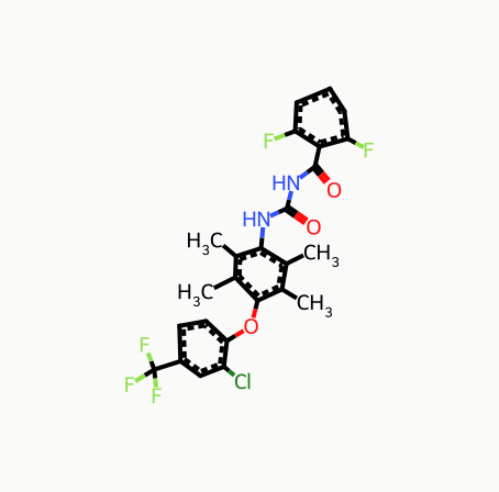 Cc1c(C)c(Oc2ccc(C(F)(F)F)cc2Cl)c(C)c(C)c1NC(=O)NC(=O)c1c(F)cccc1F